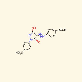 O=C1/C(=N\Nc2ccc(S(=O)(=O)O)cc2)C(O)=NN1c1ccc(S(=O)(=O)O)cc1